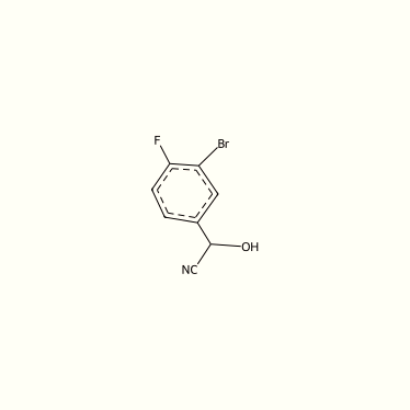 N#CC(O)c1ccc(F)c(Br)c1